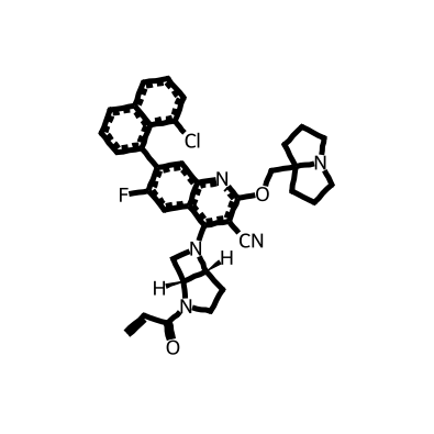 C=CC(=O)N1CC[C@@H]2[C@H]1CN2c1c(C#N)c(OCC23CCCN2CCC3)nc2cc(-c3cccc4cccc(Cl)c34)c(F)cc12